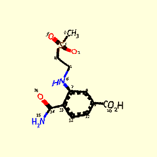 CS(=O)(=O)CCNc1cc(C(=O)O)ccc1C(N)=O